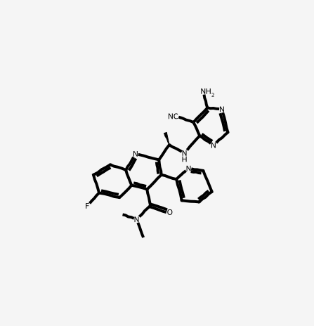 C[C@@H](Nc1ncnc(N)c1C#N)c1nc2ccc(F)cc2c(C(=O)N(C)C)c1-c1ccccn1